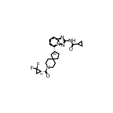 O=C(Nc1nc2cccc([C@@H]3CCC4(CCN(C(=O)[C@@H]5CC5(F)F)CC4)C3)n2n1)C1CC1